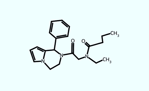 CCCC(=O)N(CC)CC(=O)N1CCn2cccc2C1c1ccccc1